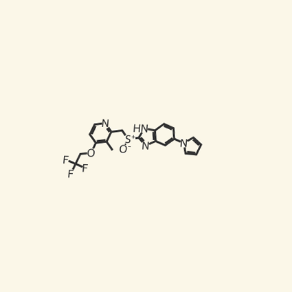 Cc1c(OCC(F)(F)F)ccnc1C[S@@+]([O-])c1nc2cc(-n3cccc3)ccc2[nH]1